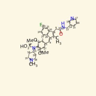 COc1cc(/C=C2/C(C)=C(CC(=O)NCc3cccnc3)c3cc(F)ccc32)cc(OC)c1N(C(=O)O)C1CCN(C)CC1